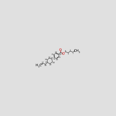 CCCCCOC(=O)c1ccc([C@H]2CC[C@H](CCC)CC2)cc1